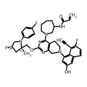 C#Cc1c(F)ccc2cc(O)cc(N3CCc4c(nc(OC[C@]5(C)C[C@@H](F)CN5c5ccc(F)cc5)nc4N4CCCCC(NC(=O)C=C)C4)C3)c12